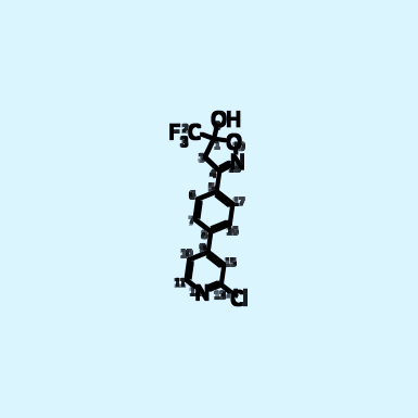 OC1(C(F)(F)F)CC(c2ccc(-c3ccnc(Cl)c3)cc2)=NO1